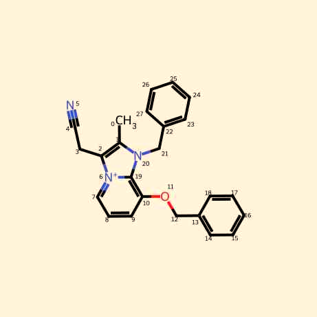 Cc1c(CC#N)[n+]2cccc(OCc3ccccc3)c2n1Cc1ccccc1